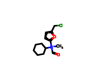 C[N+](C=O)(c1ccc(CCl)o1)C1CCCCC1